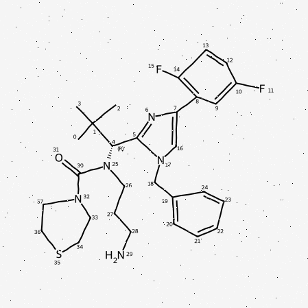 CC(C)(C)[C@H](c1nc(-c2cc(F)ccc2F)cn1Cc1ccccc1)N(CCCN)C(=O)N1CCSCC1